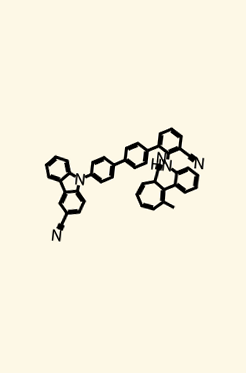 CC1=C(c2ccccc2Nc2c(C#N)cccc2-c2ccc(-c3ccc(-n4c5ccccc5c5cc(C#N)ccc54)cc3)cc2)C(C#N)C=CC=C1